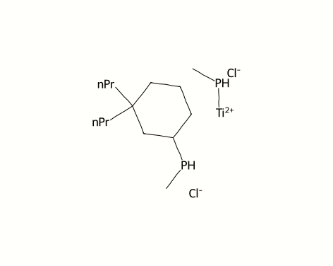 CCCC1(CCC)CCCC(PC)C1.C[PH][Ti+2].[Cl-].[Cl-]